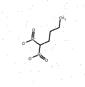 CCCC[C]([N+](=O)[O-])[N+](=O)[O-]